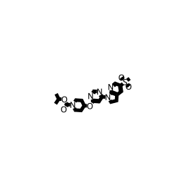 CC(C)OC(=O)N1CCC(Oc2cc(N3CCc4cc(S(C)(=O)=O)cnc43)ncn2)CC1